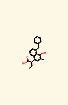 C/C=C(\C(=O)O)c1cc(C)c(O)c2c(Cc3ccccc3)cccc12